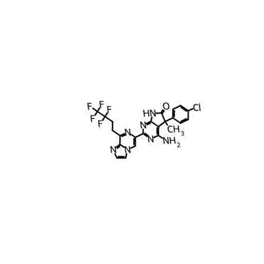 CC1(c2ccc(Cl)cc2)C(=O)Nc2nc(-c3cn4ccnc4c(CCC(F)(F)C(F)(F)F)n3)nc(N)c21